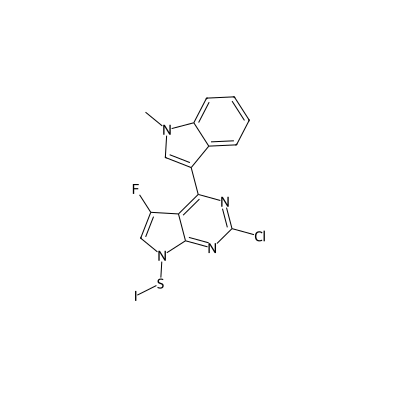 Cn1cc(-c2nc(Cl)nc3c2c(F)cn3SI)c2ccccc21